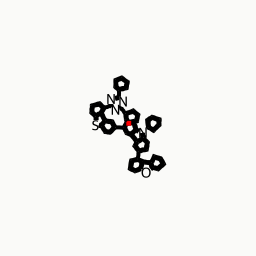 c1ccc(-c2nc(-c3ccccc3)nc(-c3cccc4sc5ccc(-c6ccc7c(c6)c6cc(-c8cccc9oc%10ccccc%10c89)ccc6n7-c6ccccc6)cc5c34)n2)cc1